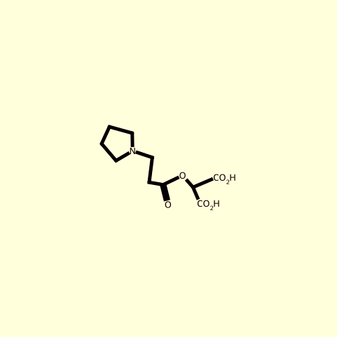 O=C(CCN1CCCC1)OC(C(=O)O)C(=O)O